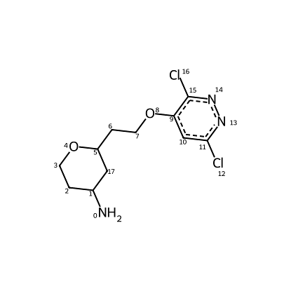 NC1CCOC(CCOc2cc(Cl)nnc2Cl)C1